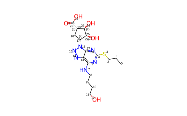 CCCSc1nc(NCCCCO)c2nnn([C@@H]3C[C@H](C(=O)O)[C@@H](O)[C@H]3O)c2n1